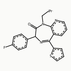 C[C](C)CN1C(=O)C(c2ccc(F)cc2)N=C(c2cccs2)c2cccnc21